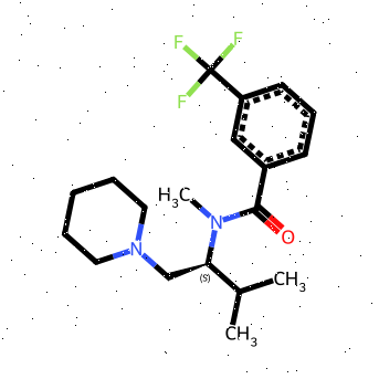 CC(C)[C@@H](CN1CCCCC1)N(C)C(=O)c1cccc(C(F)(F)F)c1